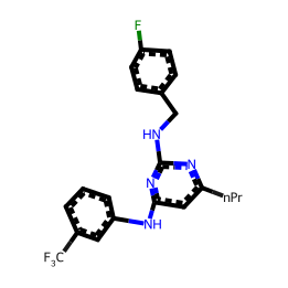 CCCc1cc(Nc2cccc(C(F)(F)F)c2)nc(NCc2ccc(F)cc2)n1